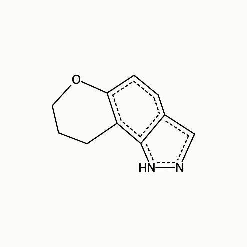 c1cc2cn[nH]c2c2c1OCCC2